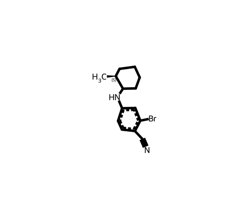 C[C@H]1CCCCC1Nc1ccc(C#N)c(Br)c1